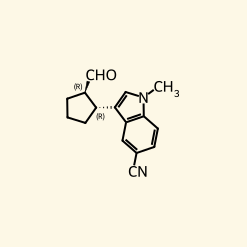 Cn1cc([C@@H]2CCC[C@H]2C=O)c2cc(C#N)ccc21